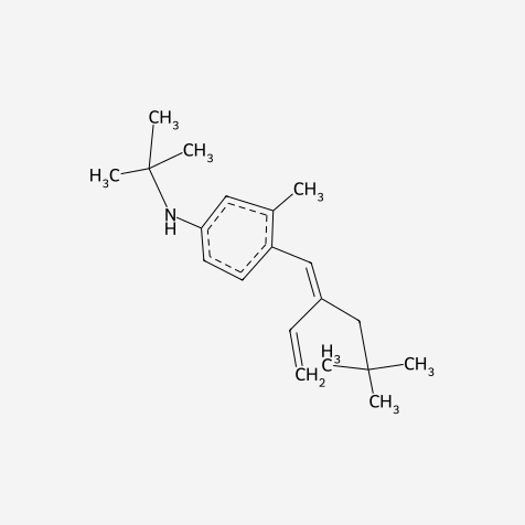 C=C/C(=C\c1ccc(NC(C)(C)C)cc1C)CC(C)(C)C